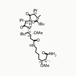 CC[C@H](C)[C@@H]([C@@H](CC(=O)NCCCC[C@H](OC)[C@@H](C)C(N)=O)OC)N(C)C(=O)[C@@H](NC(=O)[C@H](C(C)C)N(C)C(=O)C(C)(C)C)C(C)C